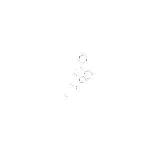 O=C(NC1CCCNC1)c1sc2nccc3c2c1NC(=O)N3c1ccnc(C2CCC2)c1